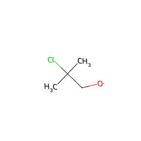 CC(C)(Cl)C[O]